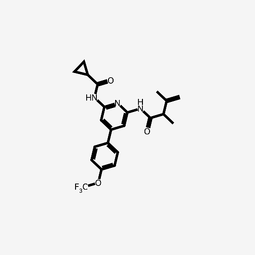 C=C(C)C(C)C(=O)Nc1cc(-c2ccc(OC(F)(F)F)cc2)cc(NC(=O)C2CC2)n1